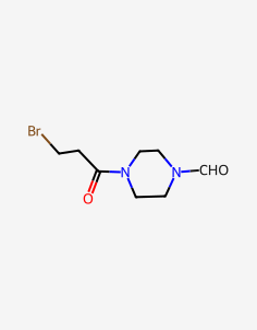 O=CN1CCN(C(=O)CCBr)CC1